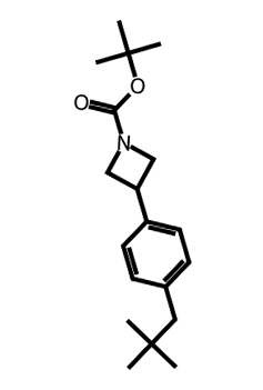 CC(C)(C)Cc1ccc(C2CN(C(=O)OC(C)(C)C)C2)cc1